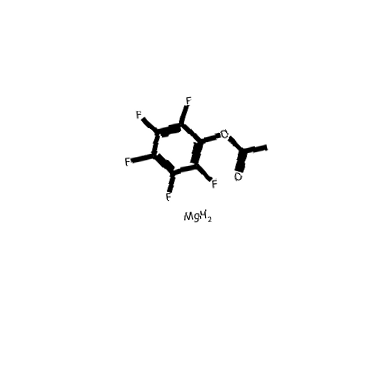 CC(=O)Oc1c(F)c(F)c(F)c(F)c1F.[MgH2]